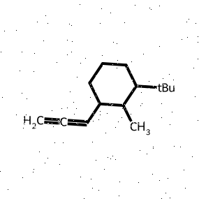 C=C=CC1CCCC(C(C)(C)C)C1C